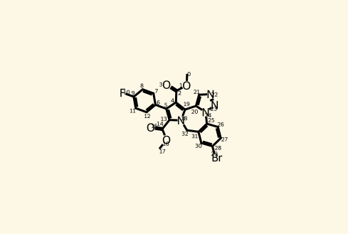 COC(=O)c1c(-c2ccc(F)cc2)c(C(=O)OC)n2c1-c1cnnn1-c1ccc(Br)cc1C2